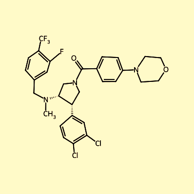 CN(Cc1ccc(C(F)(F)F)c(F)c1)[C@@H]1CN(C(=O)c2ccc(N3CCOCC3)cc2)C[C@@H]1c1ccc(Cl)c(Cl)c1